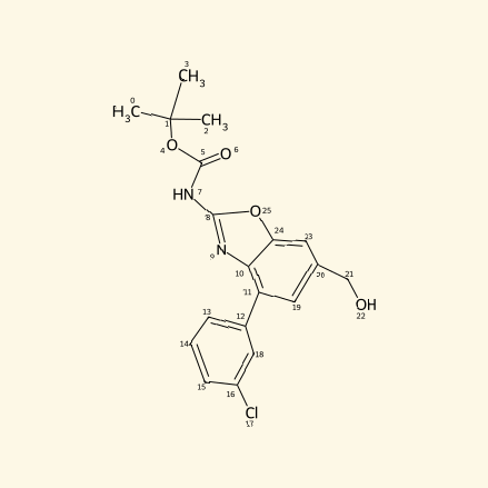 CC(C)(C)OC(=O)Nc1nc2c(-c3cccc(Cl)c3)cc(CO)cc2o1